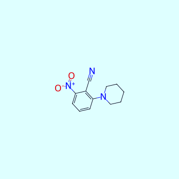 N#Cc1c(N2CCCCC2)cccc1[N+](=O)[O-]